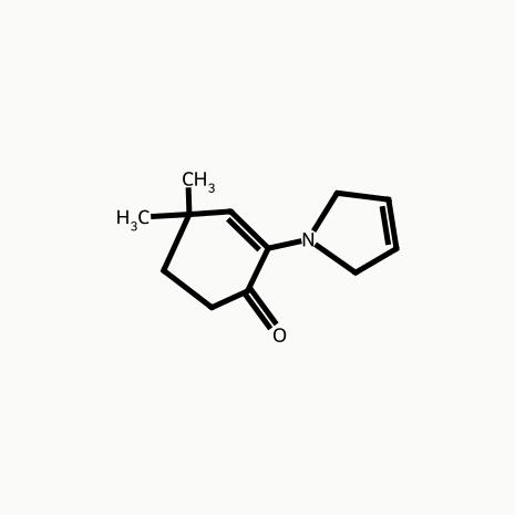 CC1(C)C=C(N2CC=CC2)C(=O)CC1